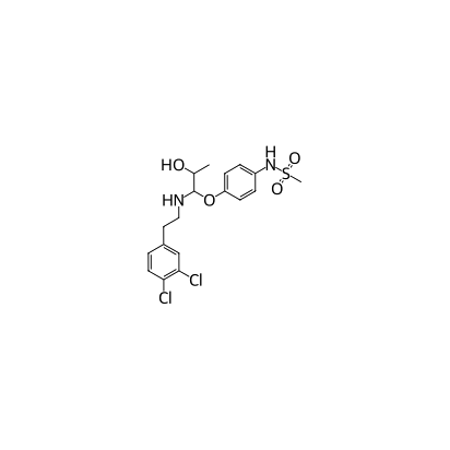 CC(O)C(NCCc1ccc(Cl)c(Cl)c1)Oc1ccc(NS(C)(=O)=O)cc1